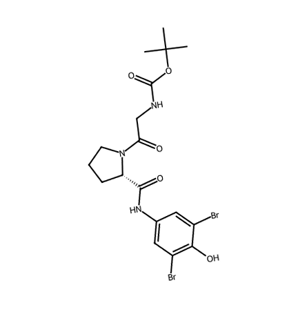 CC(C)(C)OC(=O)NCC(=O)N1CCC[C@H]1C(=O)Nc1cc(Br)c(O)c(Br)c1